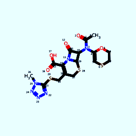 CC(=O)N(C1=CSCCO1)C1C(=O)N2C(C(=O)O)=C(CSc3nnnn3C)CSC12